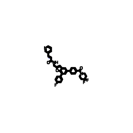 O=C(/C=C/c1cccnc1)NCc1cc2cc(-c3ccc(C(=O)N4CCC(F)(F)CC4)cc3)cc(-c3ccc(F)cc3)c2o1